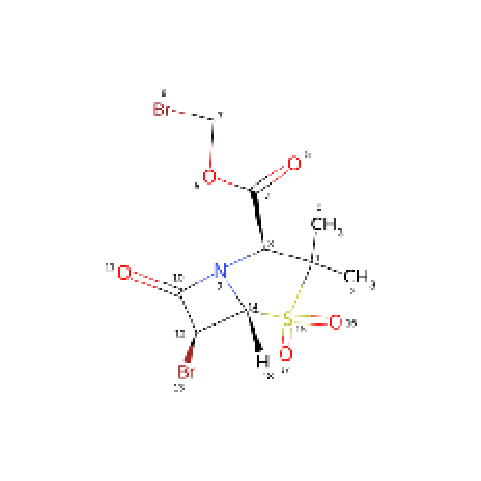 CC1(C)[C@H](C(=O)OCBr)N2C(=O)[C@H](Br)[C@H]2S1(=O)=O